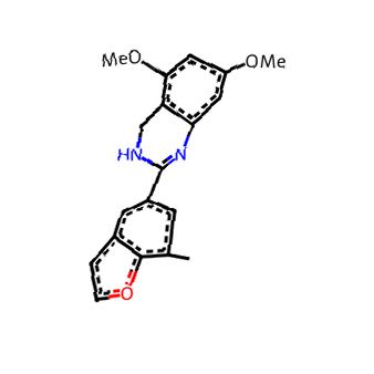 COc1cc2c(c(OC)c1)CNC(c1cc(C)c3occc3c1)=N2